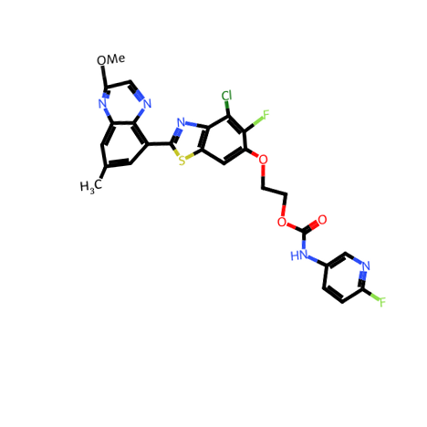 COc1cnc2c(-c3nc4c(Cl)c(F)c(OCCOC(=O)Nc5ccc(F)nc5)cc4s3)cc(C)cc2n1